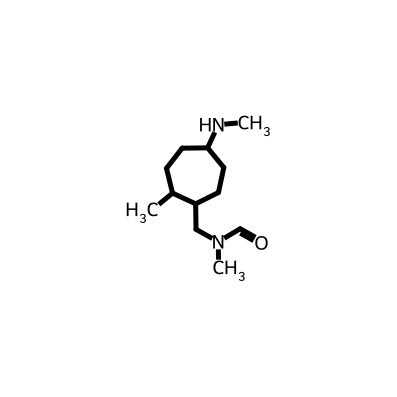 CNC1CCC(C)C(CN(C)C=O)CC1